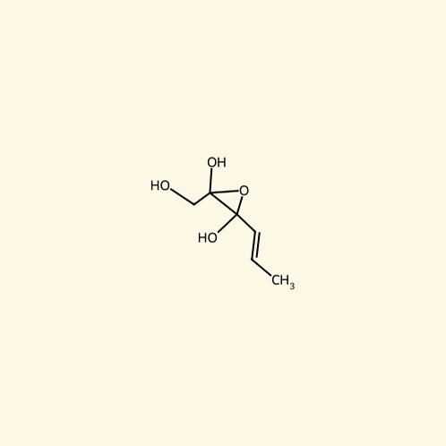 C/C=C/C1(O)OC1(O)CO